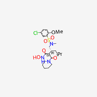 COc1ccc(Cl)cc1S(=O)(=O)N(C)C[C@H](CC(C)C)[C@H](C(=O)NO)C(=O)N1CCCCC1